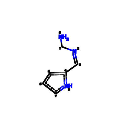 NC/N=C\c1ccc[nH]1